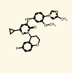 COc1cc(Nc2cc(C3CC3)nn(C3CCOc4ccc(F)cc43)c2=O)ccc1-n1cnc(C)c1